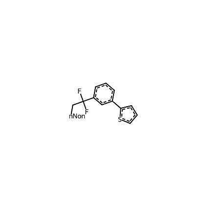 CCCCCCCCCCC(F)(F)c1cccc(-c2cccs2)c1